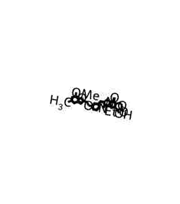 CC[C@@]1(O)C(=O)OCc2c1cc1n(c2=O)Cc2cc3cc(OCc4cc5cc(C)cc(OC)c5o4)ccc3nc2-1